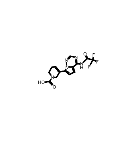 O=C(O)N1CCC=C(c2ccc3c(NC(=O)C(F)(F)F)ncnn23)C1